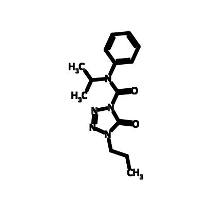 CCCn1nnn(C(=O)N(c2ccccc2)C(C)C)c1=O